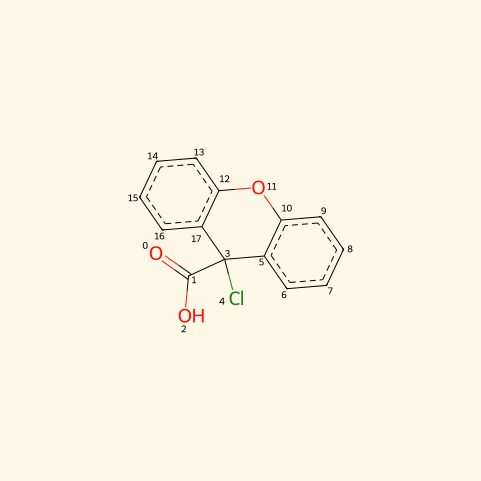 O=C(O)C1(Cl)c2ccccc2Oc2ccccc21